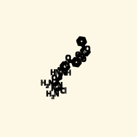 Nc1nc(N)c(C(=O)/C=C2\NCC3(CCN(C(=O)c4cccc(S(=O)(=O)N5CCOC(c6ccccc6)C5)c4)CC3)N2)nc1Cl